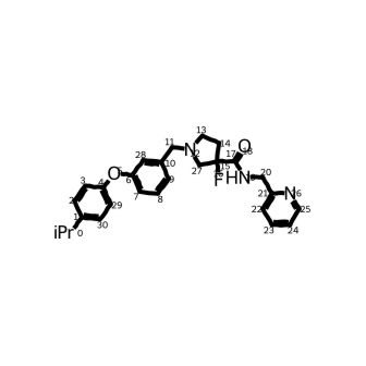 CC(C)c1ccc(Oc2cccc(CN3CCC(F)(C(=O)NCc4ccccn4)C3)c2)cc1